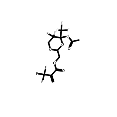 C=C(C(=O)OCC1OCC(F)(F)C(OC(C)=O)(C(F)(F)F)O1)C(F)(F)F